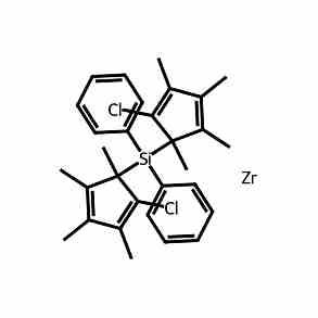 CC1=C(C)C(C)([Si](c2ccccc2)(c2ccccc2)C2(C)C(C)=C(C)C(C)=C2Cl)C(Cl)=C1C.[Zr]